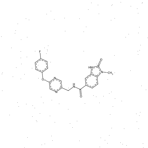 Cn1c(=O)[nH]c2cc(C(=O)NCc3cnc(Oc4ccc(F)cc4)cn3)ccc21